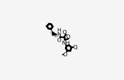 COc1cc(NC2=C(C(=O)N[C@@H]3C[C@H]3c3ccccc3)C(=O)OC2)cc(OC)c1